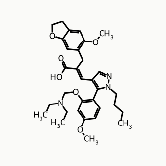 CCCCn1ncc(/C=C(\Cc2cc3c(cc2OC)CCO3)C(=O)O)c1-c1ccc(OC)cc1OCN(CC)CC